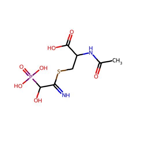 CC(=O)NC(CSC(=N)C(O)P(=O)(O)O)C(=O)O